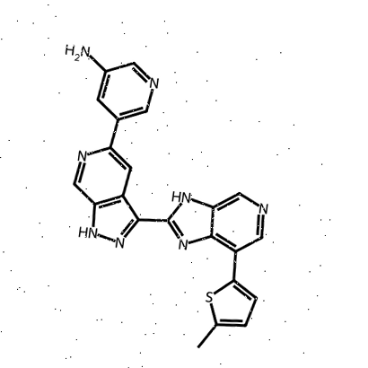 Cc1ccc(-c2cncc3[nH]c(-c4n[nH]c5cnc(-c6cncc(N)c6)cc45)nc23)s1